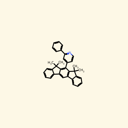 CC1(C)c2ccccc2-c2cc3c(c(-c4ccnc(-c5ccccc5)c4)c21)C(C)(C)c1ccccc1-3